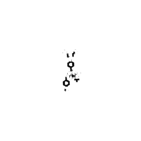 COCCN(CCOC)c1ccc([C@@H](CNCc2ccc(OC)cc2)NC(=O)OC(C)(C)C)cc1